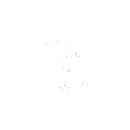 CCCCCC1CCC(C#N)(C(=O)Oc2ccc(C3CCC(CCC)CC3)c(C3CCC(CCC)CC3)c2)CC1